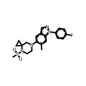 Cc1cc2c(cnn2-c2ccc(F)cc2)cc1N1CCN(S(C)(=O)=O)C2(CC2)C1